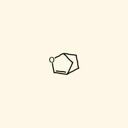 C1=C2CCC(C2)O1